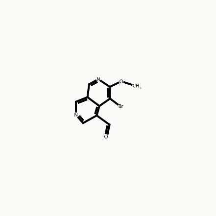 COc1ncc2cncc(C=O)c2c1Br